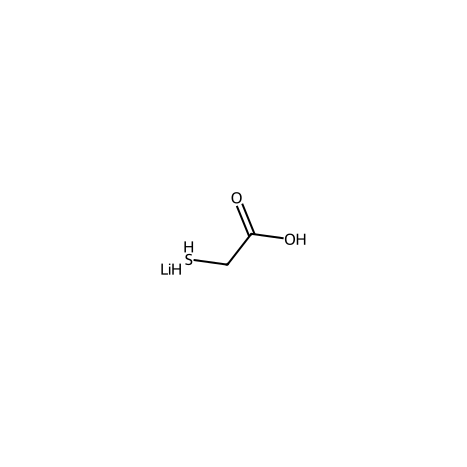 O=C(O)CS.[LiH]